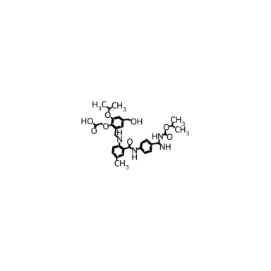 Cc1ccc(NCc2cc(CO)cc(OC(C)C)c2OCC(=O)O)c(C(=O)Nc2ccc(C(=N)NC(=O)OC(C)C)cc2)c1